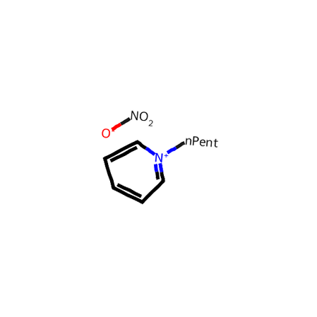 CCCCC[n+]1ccccc1.O=[N+]([O-])[O-]